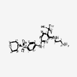 NCCNc1nc(Nc2ccc(S(=O)(=O)N3CCOCC3)cc2)ncc1C(F)(F)F